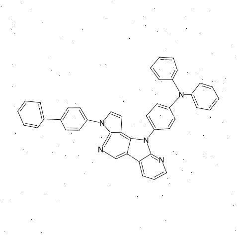 c1ccc(-c2ccc(-n3ccc4c3ncc3c5cccnc5n(-c5ccc(N(c6ccccc6)c6ccccc6)cc5)c34)cc2)cc1